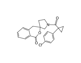 O=C1OC2(CCN(C(=O)C3(c4ccc(Cl)cc4)CC3)C2)Cc2ccccc21